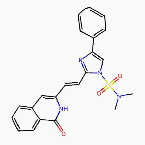 CN(C)S(=O)(=O)n1cc(-c2ccccc2)nc1C=Cc1cc2ccccc2c(=O)[nH]1